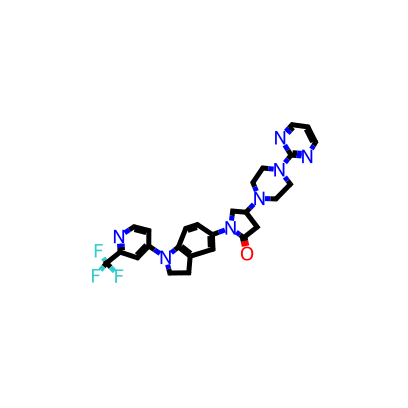 O=C1CC(N2CCN(c3ncccn3)CC2)CN1c1ccc2c(c1)CCN2c1ccnc(C(F)(F)F)c1